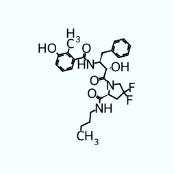 CCCCNC(=O)[C@@H]1CC(F)(F)CN1C(=O)[C@@H](O)[C@H](Cc1ccccc1)NC(=O)c1cccc(O)c1C